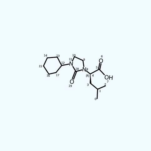 CC(C)C[C@H](C(=O)O)N1CCN(C2CCCCC2)C1=O